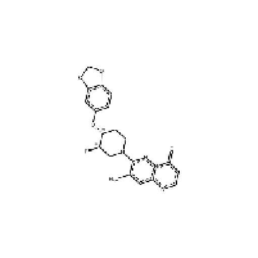 Cc1cc2nccc(=O)n2nc1N1CC[C@@H](Oc2ccc3c(c2)OCO3)[C@H](F)C1